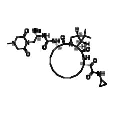 CN1CC(=O)N(C[C@@H](NC(=O)N[C@H]2CCCCCCCCC[C@@H](C(=O)C(=O)NC3CC3)NC(=O)[C@@H]3[C@@H]4[C@H](CN3C2=O)C4(C)C)C(C)(C)C)C(=O)C1